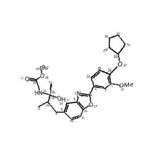 COc1cc(-c2nc3cc(CC(C)[C@@](C)(O)NC(=O)OC(C)(C)C)ccc3o2)ccc1OC1CCCC1